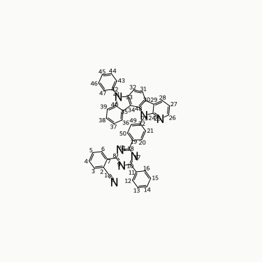 N#Cc1ccccc1-c1nc(-c2ccccc2)nc(-c2ccc(-n3c4ncccc4c4ccc5c(c6ccccc6n5-c5ccccc5)c43)cc2)n1